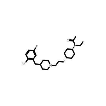 CCN(C(C)=O)[C@H]1CC[C@H](CCCN2CCC(Cc3cc(F)ccc3Br)CC2)CC1